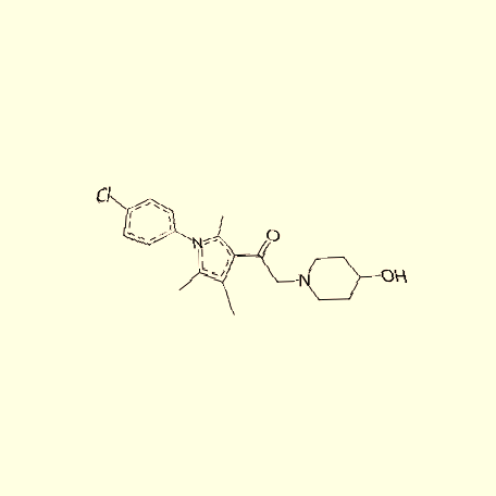 Cc1c(C(=O)CN2CCC(O)CC2)c(C)n(-c2ccc(Cl)cc2)c1C